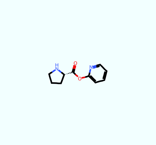 O=C(Oc1ccccn1)[C@@H]1CCCN1